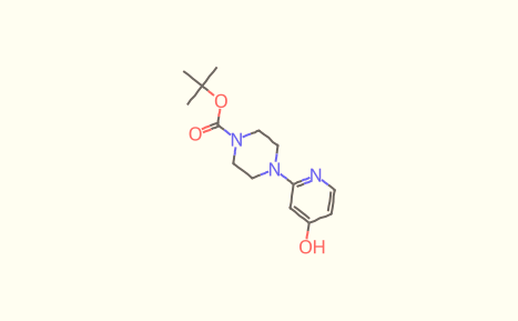 CC(C)(C)OC(=O)N1CCN(c2cc(O)ccn2)CC1